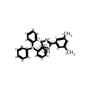 Cc1cc(C)cc(C2=N[C@@H](c3ccccc3P(c3ccccc3)c3ccccc3)CN2)c1